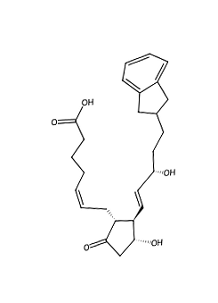 O=C(O)CCC/C=C\C[C@H]1C(=O)C[C@@H](O)[C@@H]1/C=C/[C@@H](O)CCC1Cc2ccccc2C1